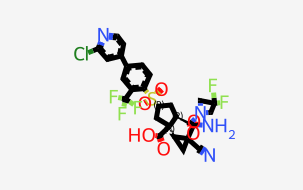 N#CC1(C(N)=O)CC1[C@]1(C(=O)O)C[C@H](S(=O)(=O)c2ccc(-c3ccnc(Cl)c3)cc2C(F)(F)F)C[C@H]1C(=O)N1CC(F)(F)C1